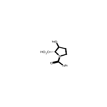 CCCC(=O)N1CCC(O)[C@H]1C(=O)O